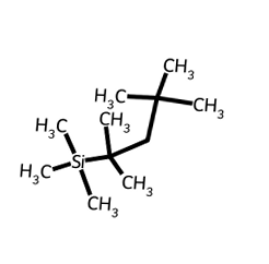 CC(C)(C)CC(C)(C)[Si](C)(C)C